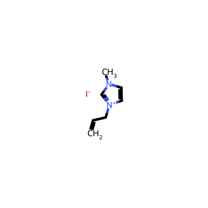 C=CC[n+]1ccn(C)c1.[I-]